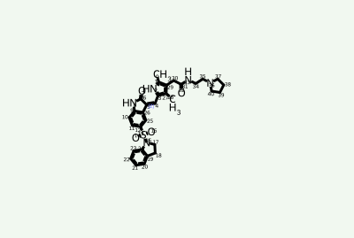 Cc1[nH]c(/C=C2\C(=O)Nc3ccc(S(=O)(=O)N4CCc5ccccc54)cc32)c(C)c1CC(=O)NCCN1CCCC1